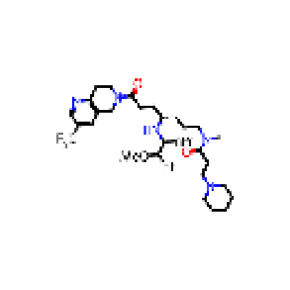 CCCC(N[C@@H](CCCN(C)C(=O)CCN1CCCCC1)CCC(=O)N1CCc2ncc(C(F)(F)F)cc2C1)C(CC)OC